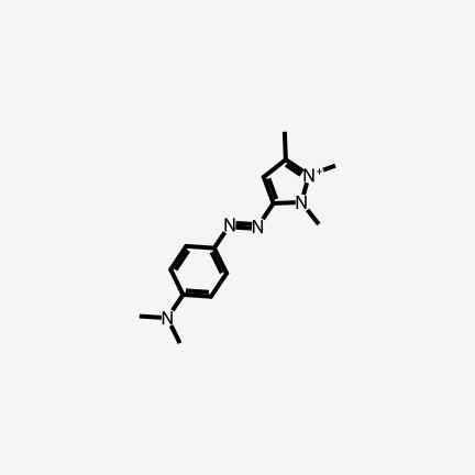 Cc1cc(N=Nc2ccc(N(C)C)cc2)n(C)[n+]1C